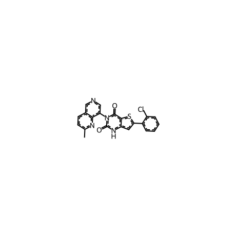 Cc1ccc2cncc(-n3c(=O)[nH]c4cc(-c5ccccc5Cl)sc4c3=O)c2n1